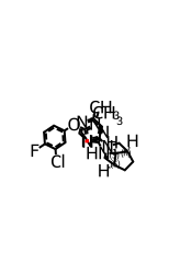 Cc1cc(N2C[C@H]3CC[C@@H](C2)[C@@H]3Nc2nc(Oc3ccc(F)c(Cl)c3)n(C)n2)ncn1